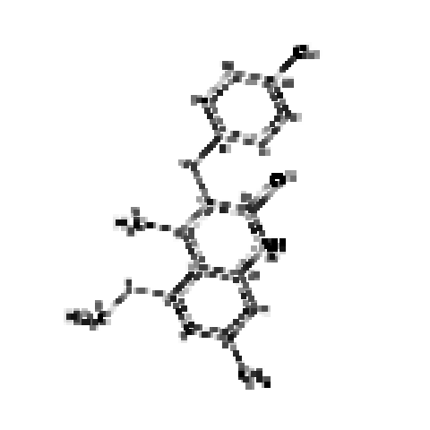 Cc1cc(CC(=O)O)c2c(C)c(Cc3ccc(Cl)cc3)c(=O)[nH]c2c1